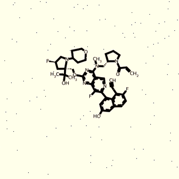 C#Cc1c(F)ccc2cc(O)cc(-c3ncc4c(N(C)C[C@@H]5CCCN5C(=O)C=C)nc(OC[C@]5(C(C)(C)O)C[C@@H](F)CN5C5CCOCC5)nc4c3F)c12